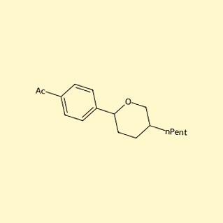 CCCCCC1CCC(c2ccc(C(C)=O)cc2)OC1